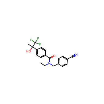 CCN(Cc1ccc(C#N)cc1)C(=O)c1ccc(C(C)(O)C(F)(F)F)cc1